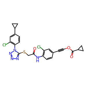 O=C(CSc1nnnn1-c1ccc(C2CC2)cc1Cl)Nc1ccc(C#COC(=O)C2CC2)cc1Cl